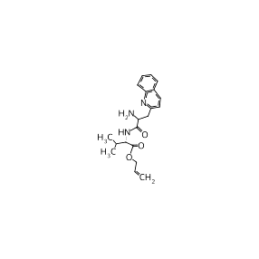 C=CCOC(=O)[C@@H](NC(=O)C(N)Cc1ccc2ccccc2n1)C(C)C